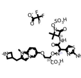 C[n+]1c(CC2CNC2)cn2cc(OC[C@H](O/N=C(\C(=O)N[C@@H]3C(=O)N(OS(=O)(=O)O)C3(C)C)c3csc(N)n3)C(=O)O)ccc21.O=C([O-])C(F)(F)F